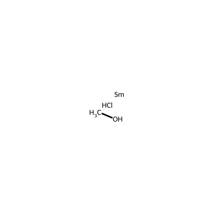 CO.Cl.[Sm]